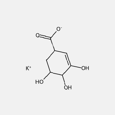 O=C([O-])C1C=C(O)C(O)C(O)C1.[K+]